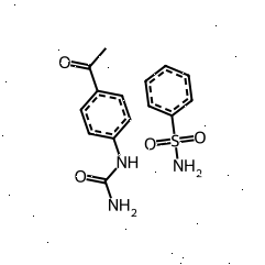 CC(=O)c1ccc(NC(N)=O)cc1.NS(=O)(=O)c1ccccc1